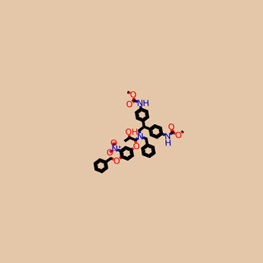 COC(=O)Nc1ccc(C(CN(Cc2ccccc2)C(Oc2ccc(OCc3ccccc3)c([N+](=O)[O-])c2)C(C)O)c2ccc(NC(=O)OC)cc2)cc1